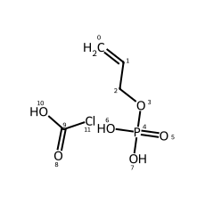 C=CCOP(=O)(O)O.O=C(O)Cl